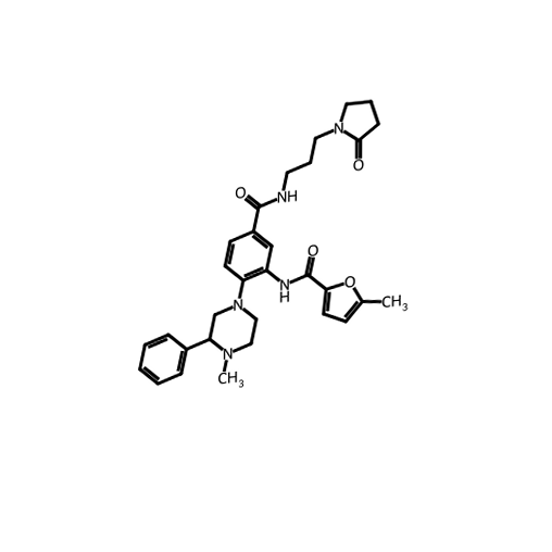 Cc1ccc(C(=O)Nc2cc(C(=O)NCCCN3CCCC3=O)ccc2N2CCN(C)C(c3ccccc3)C2)o1